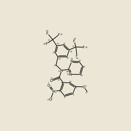 COc1ccc([N+](=O)[O-])c(C(=O)N(Cc2cc(C(F)(F)F)cc(C(F)(F)F)c2)c2ncccn2)c1